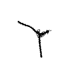 CCCCCCCCCCCCCCCCCCCCCC(=O)OC[C@H](COP(=O)(O)OCC[N+](C)(C)C)OC(=O)CCCCCCCCCCCCCCCCCCCCC